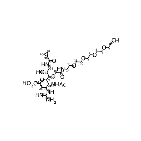 C#CCOCCOCCOCCOCCNC(=O)CO[C@@H]([C@@H]1OC(C(=O)O)=C[C@H](NC(=N)N)[C@H]1NC(C)=O)[C@H](O)CNC(=O)C1CC1